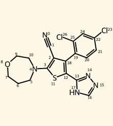 N#Cc1c(N2CCCOCC2)sc(-c2nnc[nH]2)c1-c1ccc(Cl)cc1Cl